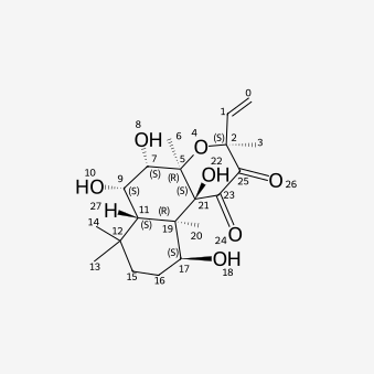 C=C[C@]1(C)O[C@]2(C)[C@@H](O)[C@@H](O)[C@H]3C(C)(C)CC[C@H](O)[C@]3(C)[C@@]2(O)C(=O)C1=O